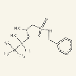 CC(CS(=O)(=O)NCc1ccccc1)O[Si](C)(C)C(C)(C)C